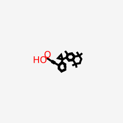 Cc1cc2c(cc1C1(c3ccccc3C#CC(=O)O)CC1)C(C)(C)CCC2(C)C